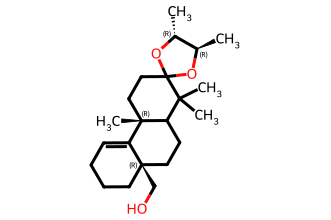 C[C@H]1OC2(CC[C@@]3(C)C4=CCCC[C@@]4(CO)CCC3C2(C)C)O[C@@H]1C